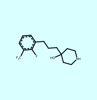 OC1(CCCc2cccc(C(F)(F)F)c2F)CCNCC1